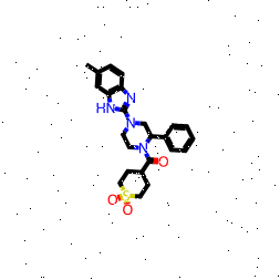 Cc1ccc2nc(N3CCN(C(=O)C4CCS(=O)(=O)CC4)C(c4ccccc4)C3)[nH]c2c1